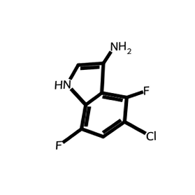 Nc1c[nH]c2c(F)cc(Cl)c(F)c12